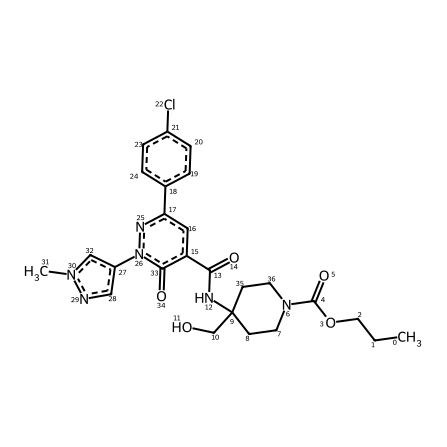 CCCOC(=O)N1CCC(CO)(NC(=O)c2cc(-c3ccc(Cl)cc3)nn(-c3cnn(C)c3)c2=O)CC1